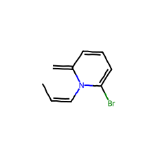 C=C1C=CC=C(Br)N1/C=C\C